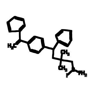 C=C(c1ccccc1)c1ccc(C(CC(C)(C)CB(P)I)c2ccccc2)cc1